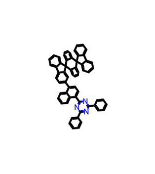 c1ccc(-c2nc(-c3ccccc3)nc(-c3ccc(-c4ccc5c(c4)C4(c6ccccc6-5)c5ccccc5C5(c6ccccc6-c6ccccc65)c5ccccc54)c4ccccc34)n2)cc1